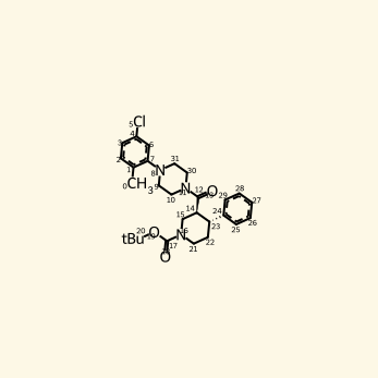 Cc1ccc(Cl)cc1N1CCN(C(=O)[C@@H]2CN(C(=O)OC(C)(C)C)CC[C@H]2c2ccccc2)CC1